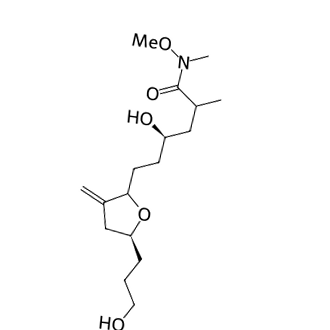 C=C1C[C@H](CCCO)OC1CC[C@@H](O)CC(C)C(=O)N(C)OC